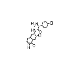 NC(C(=O)Nc1cc2cc[nH]c(=O)c2cc1Cl)c1ccc(Cl)cc1